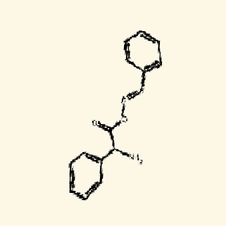 NC(C(=O)ON=Nc1ccccc1)c1ccccc1